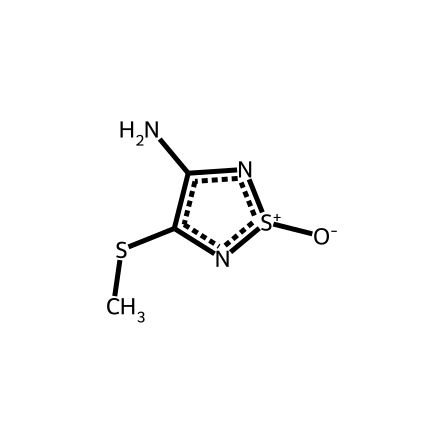 CSc1n[s+]([O-])nc1N